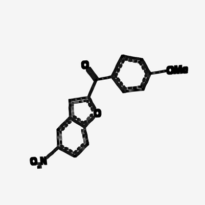 COc1ccc(C(=O)c2cc3cc([N+](=O)[O-])ccc3o2)cc1